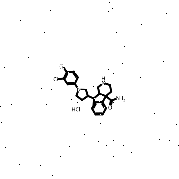 CC(C1CCN(c2ccc(Cl)c(Cl)c2)C1)C1CNCCC1(C(N)=O)c1ccccc1.Cl